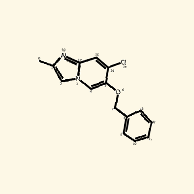 Cc1cn2cc(OCc3ccccc3)c(Cl)cc2n1